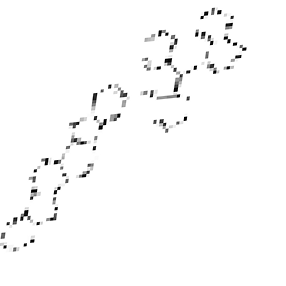 c1ccc2c(-c3c4ccccc4c(-c4ccc5sc6c(ccc7c6ccc6c8ccccc8oc67)c5c4)c4ccccc34)cccc2c1